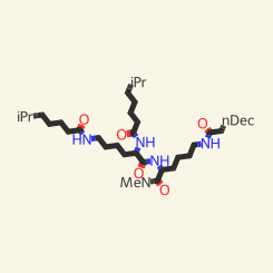 CCCCCCCCCCCC(=O)NCCCCC(NC(=O)C(CCCCNC(=O)CCCCC(C)C)NC(=O)CCCCC(C)C)C(=O)NC